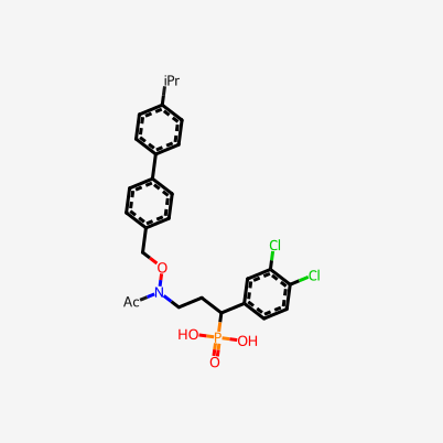 CC(=O)N(CCC(c1ccc(Cl)c(Cl)c1)P(=O)(O)O)OCc1ccc(-c2ccc(C(C)C)cc2)cc1